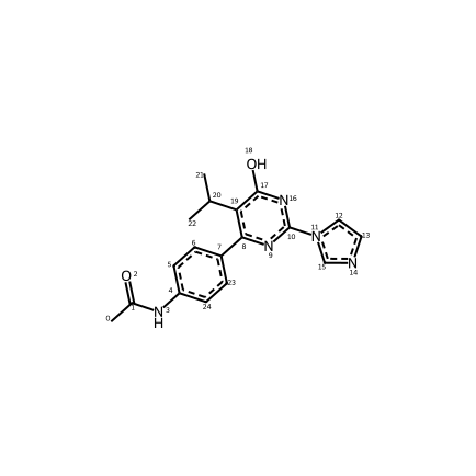 CC(=O)Nc1ccc(-c2nc(-n3ccnc3)nc(O)c2C(C)C)cc1